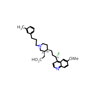 COc1ccc2nccc([C@@H](F)CC[C@@H]3CCN(CCCc4cccc(C)c4)C[C@@H]3CC(=O)O)c2c1